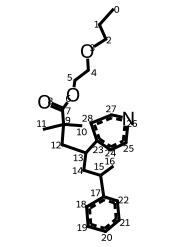 CCCOCCOC(=O)C(C)(C)CC(CC(C)c1ccccc1)c1ccncc1